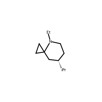 CCN1CC[C@H](C(C)C)CC12CC2